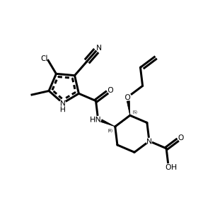 C=CCO[C@H]1CN(C(=O)O)CC[C@H]1NC(=O)c1[nH]c(C)c(Cl)c1C#N